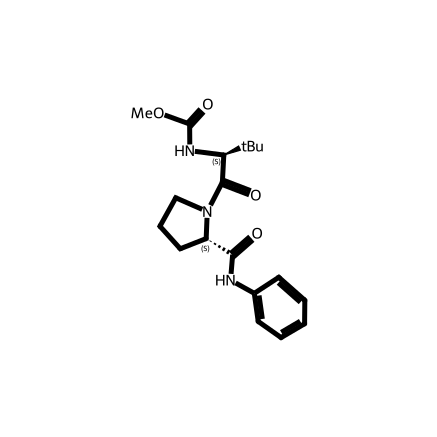 COC(=O)N[C@H](C(=O)N1CCC[C@H]1C(=O)Nc1ccccc1)C(C)(C)C